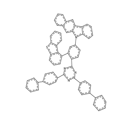 c1ccc(-c2ccc(-c3nc(-c4ccc(-c5ccccc5)cc4)nc(-c4ccc(-n5c6ccccc6c6cc7ccccc7cc65)cc4-c4cccc5sc6ccccc6c45)n3)cc2)cc1